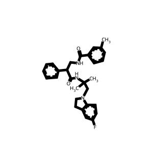 Cc1cccc(C(=O)NCC(C(=O)NC(C)(C)CN2CCc3cc(F)ccc32)c2ccccc2)c1